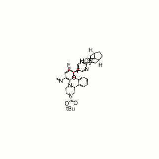 C=Nc1cc(F)c(-c2cnc(N3C[C@H]4CC[C@@H](C3)[C@@H]4C(=O)O)nc2)cc1N1CCN(C(=O)OC(C)(C)C)C[C@@H]1c1ccccc1OC(F)F